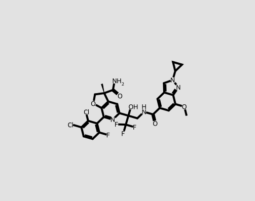 COc1cc(C(=O)NCC(O)(c2cc3c(c(-c4c(F)ccc(Cl)c4Cl)n2)OC[C@]3(C)C(N)=O)C(F)(F)F)cc2cn(C3CC3)nc12